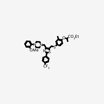 CCOC(=O)C(C)Oc1ccc(SCc2sc(-c3ccc(C(F)(F)F)cc3)nc2CN2CCN(c3ccccc3OC)CC2)cc1C